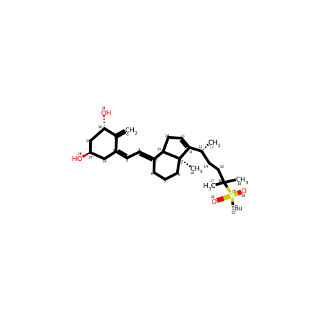 C=C1/C(=C\C=C2/CCC[C@]3(C)C([C@H](C)CCC(C)(C)S(=O)(=O)C(C)(C)C)=CCC23)C[C@@H](O)C[C@@H]1O